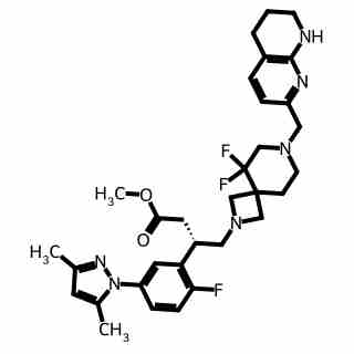 COC(=O)C[C@H](CN1CC2(CCN(Cc3ccc4c(n3)NCCC4)CC2(F)F)C1)c1cc(-n2nc(C)cc2C)ccc1F